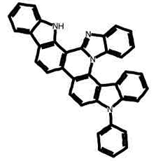 c1ccc(-n2c3ccccc3c3c2ccc2c4ccc5c6ccccc6[nH]c5c4c4nc5ccccc5n4c23)cc1